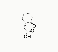 O=C(O)/C=C1/CCCCC1=O